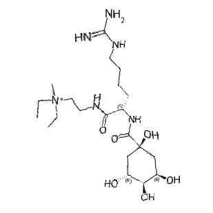 CC[N+](C)(CC)CCNC(=O)[C@H](CCCCNC(=N)N)NC(=O)[C@]1(O)C[C@@H](O)[C@@H](O)[C@H](O)C1